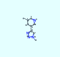 Cc1cncc(-c2cn(C)nn2)c1